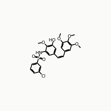 COc1cc(/C=C\c2cc(O)c(OC)c(NS(=O)(=O)c3cccc(Cl)c3)c2)cc(OC)c1OC